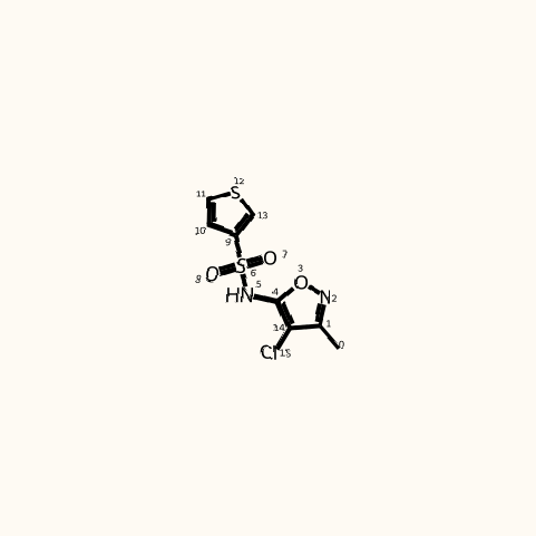 Cc1noc(NS(=O)(=O)c2ccsc2)c1Cl